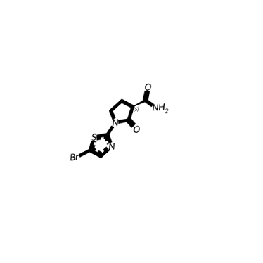 NC(=O)[C@@H]1CCN(c2ncc(Br)s2)C1=O